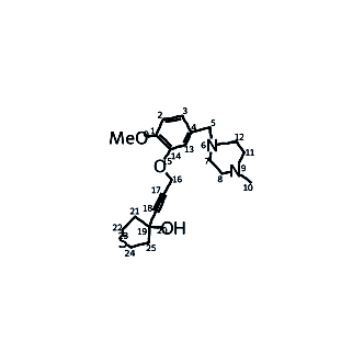 COc1ccc(CN2CCN(C)CC2)cc1OCC#CC1(O)CCSCC1